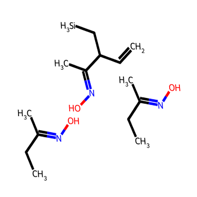 C=CC(C[SiH3])C(C)=NO.CCC(C)=NO.CCC(C)=NO